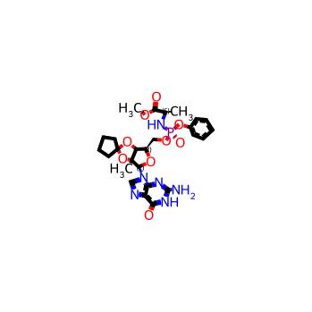 COC(=O)[C@H](C)NP(=O)(OC[C@H]1O[C@@H](n2cnc3c(=O)[nH]c(N)nc32)C2(C)OC3(CCCC3)OC12)Oc1ccccc1